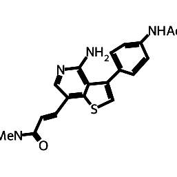 CNC(=O)C=Cc1cnc(N)c2c(-c3ccc(NC(C)=O)cc3)csc12